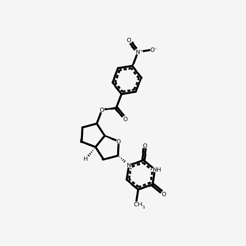 Cc1cn([C@@H]2C[C@H]3CCC(OC(=O)c4ccc([N+](=O)[O-])cc4)C3O2)c(=O)[nH]c1=O